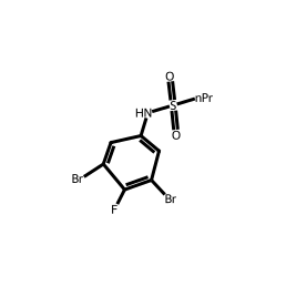 CCCS(=O)(=O)Nc1cc(Br)c(F)c(Br)c1